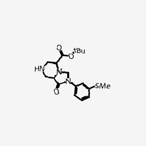 CSc1cccc(N2CN3C(C(=O)OC(C)(C)C)CNCC3C2=O)c1